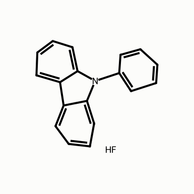 F.c1ccc(-n2c3ccccc3c3ccccc32)cc1